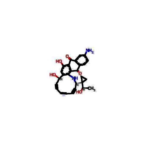 C[C@@H](O)C1([C@@H]2C#C/C=C\C#C[C@@H](O)c3cc(O)c4c(c3N2)C(=O)c2ccc(N)cc2C4=O)CC1